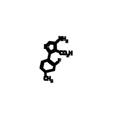 CC1C=CC(c2scc(N)c2C(=O)O)=C(F)C1